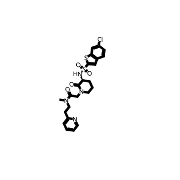 CN(CCc1ccccn1)C(=O)CN1CCC[C@H](NS(=O)(=O)c2cc3ccc(Cl)cc3s2)C1=O